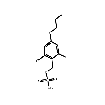 CS(=O)(=O)OCc1c(F)cc(OCCCl)cc1F